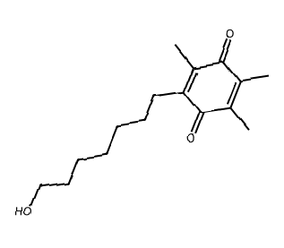 CC1=C(C)C(=O)C(CCCCCCCO)=C(C)C1=O